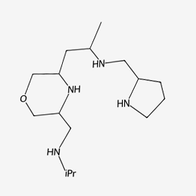 CC(C)NCC1COCC(CC(C)NCC2CCCN2)N1